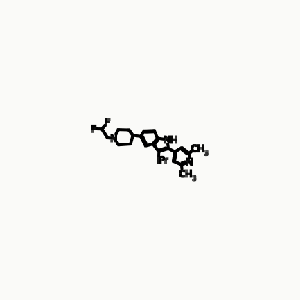 Cc1cc(-c2[nH]c3ccc(C4CCN(CC(F)F)CC4)cc3c2C(C)C)cc(C)n1